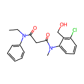 CCN(C(=O)CC(=O)N(C)c1cccc(Cl)c1CO)c1ccccc1